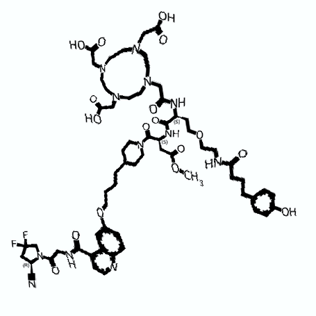 COC(=O)C[C@H](NC(=O)[C@H](CCOCCNC(=O)CCCc1ccc(O)cc1)NC(=O)CN1CCN(CC(=O)O)CCN(CC(=O)O)CCN(CC(=O)O)CC1)C(=O)N1CCC(CCCCOc2ccc3nccc(C(=O)NCC(=O)N4CC(F)(F)C[C@@H]4C#N)c3c2)CC1